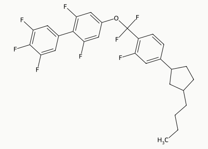 CCCCC1CCC(c2ccc(C(F)(F)Oc3cc(F)c(-c4cc(F)c(F)c(F)c4)c(F)c3)c(F)c2)C1